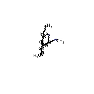 CC/C=C\CCCCOC(CCC(=O)OCC(COC(=O)CCCCC(=O)OCCC#CCCCCC)COC(=O)OCC1CCCN(CC)C1)OCCCC/C=C\CC